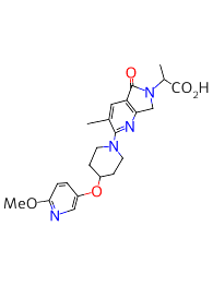 COc1ccc(OC2CCN(c3nc4c(cc3C)C(=O)N(C(C)C(=O)O)C4)CC2)cn1